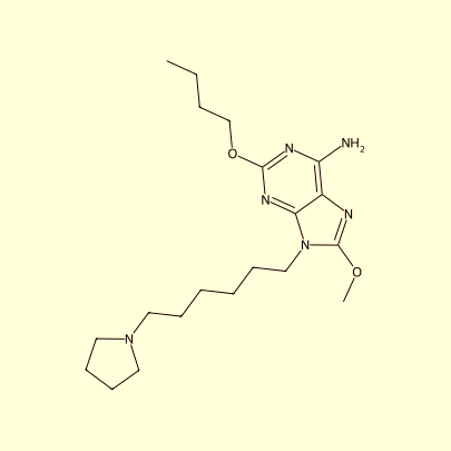 CCCCOc1nc(N)c2nc(OC)n(CCCCCCN3CCCC3)c2n1